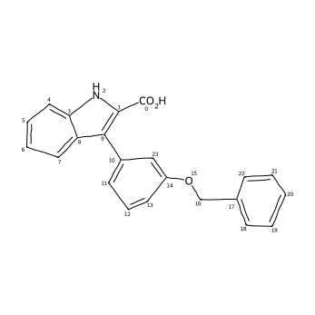 O=C(O)c1[nH]c2ccccc2c1-c1cccc(OCc2ccccc2)c1